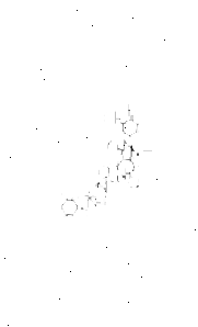 Cc1c2c(=O)n(-c3ccc(F)c(Cl)c3)[nH]c2cc(=O)n1CC(=O)N1CCN(Cc2ccccc2)CC1